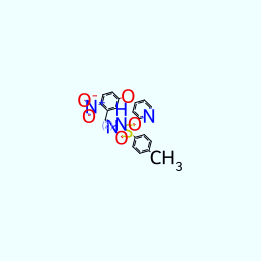 Cc1ccc(S(=O)(=O)N/N=C\c2cc(Oc3ccncc3)ccc2[N+](=O)[O-])cc1